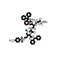 Cc1ccc(S(=O)(=O)O/C=C/C2=C(C(=O)OC(c3ccccc3)c3ccccc3)N3C(=O)C(NC(=O)/C(=N/OC(C)(C)C(=O)OC(C)(C)C)c4csc(NC(c5ccccc5)(c5ccccc5)c5ccccc5)n4)C3[S+]([O-])C2)cc1